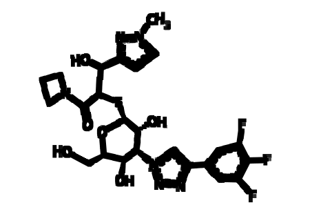 Cn1ccc(C(O)C(S[C@@H]2O[C@H](CO)[C@H](O)[C@H](n3cc(-c4cc(F)c(F)c(F)c4)nn3)[C@H]2O)C(=O)N2CCC2)n1